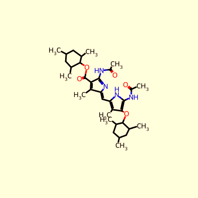 CC(=O)NC1=N/C(=C\c2[nH]c(NC(C)=O)c(OC3C(C)CC(C)CC3C)c2C)C(C)=C1C(=O)OC1C(C)CC(C)CC1C